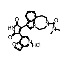 CN(C)C(=O)N1CCc2cccc3c(C4=C(c5cncc6ccoc56)C(=O)NC4=O)cn(c23)CC1.Cl